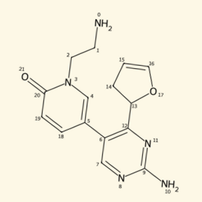 NCCn1cc(-c2cnc(N)nc2C2CC=CO2)ccc1=O